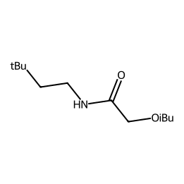 CC(C)COCC(=O)NCCC(C)(C)C